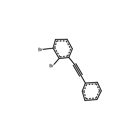 Brc1cccc(C#Cc2ccccc2)c1Br